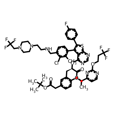 CCOC(=O)[C@@H](Cc1cc(CC(=O)OC(C)(C)C)ccc1OCc1ccnc(OCCC(F)(F)F)n1)Oc1ncnc2sc(-c3ccc(F)cc3)c(-c3ccc(CNCCN4CCN(CC(F)(F)F)CC4)c(Cl)c3C)c12